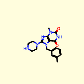 Cc1cccc(Cn2c(N3CCNCC3)nc3c2c(=O)[nH]c(=O)n3C)c1